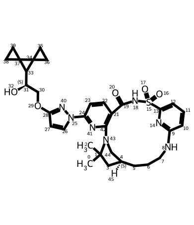 CC1(C)C[C@@H]2CCCNc3cccc(n3)S(=O)(=O)NC(=O)c3ccc(-n4ccc(OC[C@@H](O)C5C6(CC6)C56CC6)n4)nc3N1C2